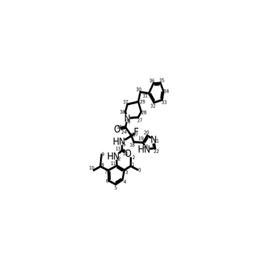 CC(C)c1cccc(C(C)C)c1NC(=O)NC(F)(Cc1cnc[nH]1)C(=O)N1CCC(Cc2ccccc2)CC1